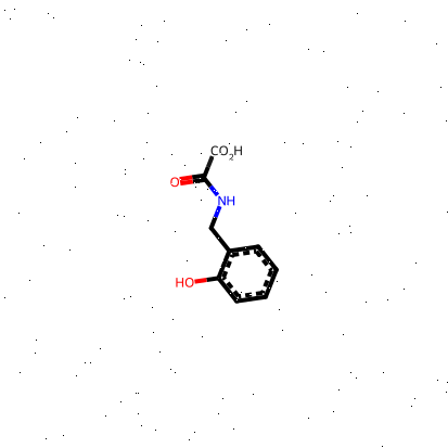 O=C(O)C(=O)NCc1ccccc1O